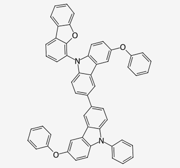 c1ccc(Oc2ccc3c(c2)c2cc(-c4ccc5c(c4)c4cc(Oc6ccccc6)ccc4n5-c4cccc5c4oc4ccccc45)ccc2n3-c2ccccc2)cc1